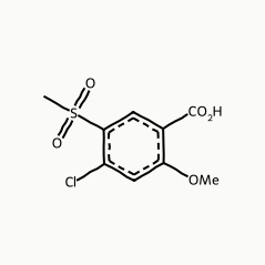 COc1cc(Cl)c(S(C)(=O)=O)cc1C(=O)O